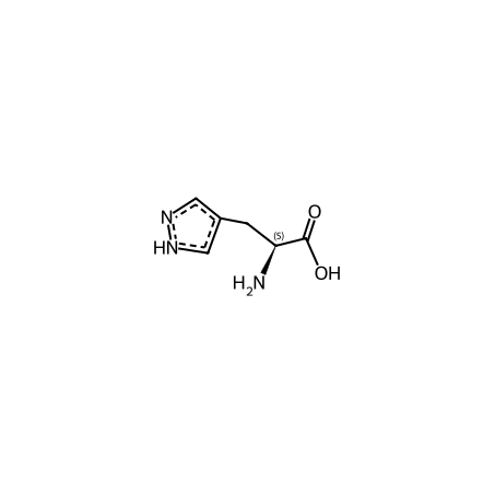 N[C@@H](Cc1cn[nH]c1)C(=O)O